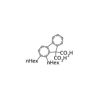 CCCCCCc1ccc2c(c1CCCCCC)C(C(=O)O)(C(=O)O)c1ccccc1-2